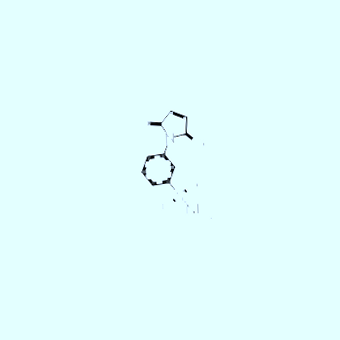 NS(=O)(=O)c1cccc(N2C(=O)C=CC2=O)c1